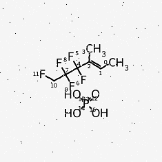 C/C=C(\C)C(F)(F)C(F)(F)CF.O=P(O)(O)O